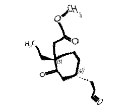 CC[C@@]1(CC(=O)OC)CC[C@H](CC=O)CC1=O